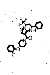 O=C(c1cnn2c1NC(c1ccccc1)C[C@H]2C(F)(F)F)N1CCC(Oc2ccccc2Cl)CC1